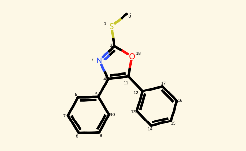 [CH2]Sc1nc(-c2ccccc2)c(-c2ccccc2)o1